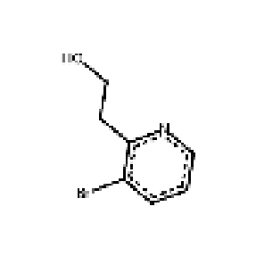 OCCc1ncccc1Br